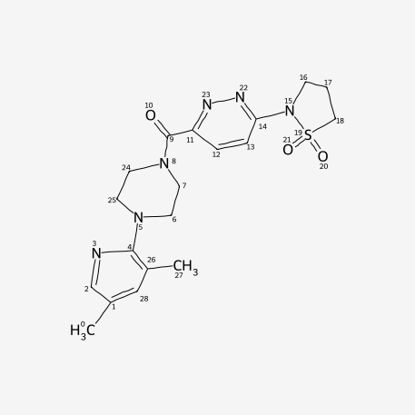 Cc1cnc(N2CCN(C(=O)c3ccc(N4CCCS4(=O)=O)nn3)CC2)c(C)c1